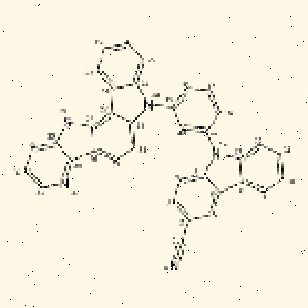 N#Cc1ccc2c(c1)c1ccccc1n2-c1cccc(-n2c3ccccc3c3c4sc5cccnc5c4ccc32)c1